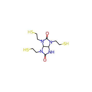 O=C1NC2C(N1CCS)N(CCS)C(=O)N2CCS